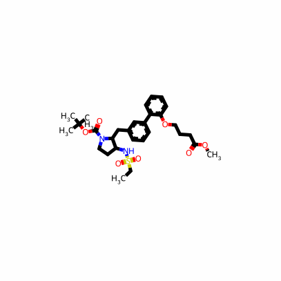 CCS(=O)(=O)NC1CCN(C(=O)OC(C)(C)C)C1Cc1cccc(-c2ccccc2OCCCC(=O)OC)c1